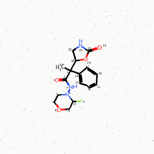 CC(C(=O)NN1CCOCC1F)(c1ccccc1)C1CNC(=O)O1